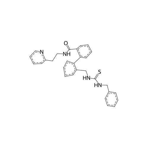 O=C(NCCc1ccccn1)c1ccccc1-c1ccccc1CNC(=S)NCc1ccccc1